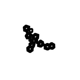 C[Si]1(C)c2ccc3c(oc4ccccc43)c2-c2cccc(N(c3ccc(-c4ccc5ccccc5c4)cc3)c3ccc4ccccc4c3)c21